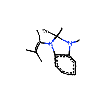 CC(C)=C(C)N1c2ccccc2N(C)C1(C)C(C)C